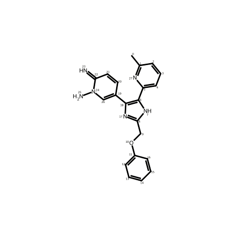 Cc1cccc(-c2[nH]c(COc3ccccc3)nc2-c2ccc(=N)n(N)c2)n1